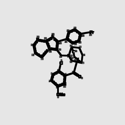 COc1ccc(Cl)c(C(=O)N2CCC3CCC2CN3Cc2c(-c3ccc(C(C)C)cc3)nc3ncccn23)n1